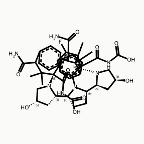 CC1(C)C(C(N)=O)c2ccc(cc2)[C@@]1(C(=O)NC(=O)O)N1C[C@@H](O)C[C@H]1[C@H]1CC[C@H]([C@@H]2C[C@H](O)CN2[C@]2(C(=O)NC(=O)O)c3ccc(cc3)C(C(N)=O)C2(C)C)N1c1ccc(F)cc1